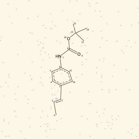 C/C=C/c1ccc(NC(=O)OC(C)(C)C)cc1